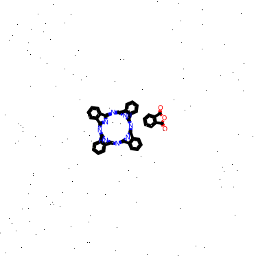 O=C1OC(=O)c2ccccc21.c1ccc2c(c1)-c1nc-2nc2[nH]c(nc3nc(nc4[nH]c(n1)c1ccccc41)-c1ccccc1-3)c1ccccc21